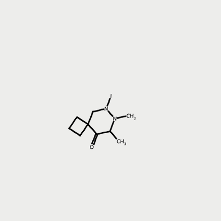 CC1C(=O)C2(CCC2)CN(I)N1C